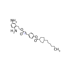 CCCCCCC1CCC(C(=O)Oc2ccc(/C=C/C(=O)OCCc3cc(N)ccc3N)cc2)CC1